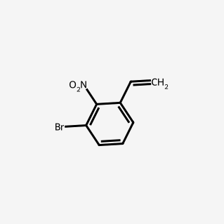 C=Cc1cccc(Br)c1[N+](=O)[O-]